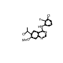 COc1cc2ncnc(Nc3cccc(Cl)c3F)c2cc1C(C)Cl